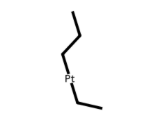 CC[CH2][Pt][CH2]C